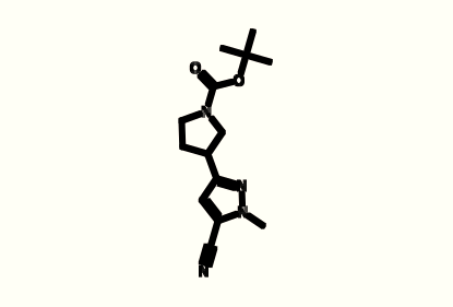 Cn1nc(C2CCN(C(=O)OC(C)(C)C)C2)cc1C#N